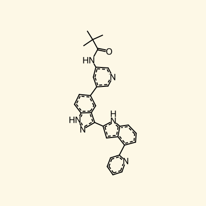 CC(C)(C)C(=O)Nc1cncc(-c2ccc3[nH]nc(-c4cc5c(-c6ccccn6)cccc5[nH]4)c3c2)c1